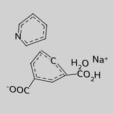 O.O=C([O-])c1cccc(C(=O)O)c1.[Na+].c1ccncc1